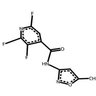 Cc1cc(NC(=O)c2cc(F)nc(F)c2F)no1